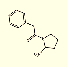 O=C(Cc1ccccc1)N1CCCC1[N+](=O)[O-]